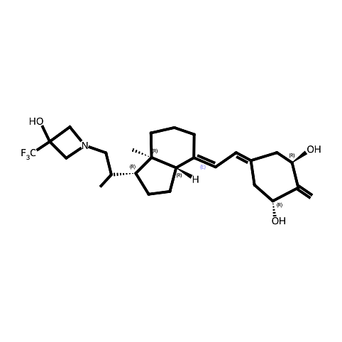 C=C1[C@H](O)CC(=C/C=C2\CCC[C@]3(C)[C@@H](C(C)CN4CC(O)(C(F)(F)F)C4)CC[C@@H]23)C[C@H]1O